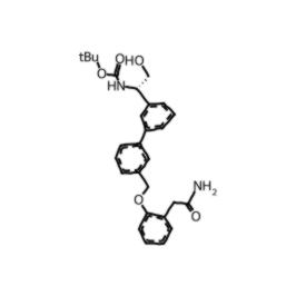 CC(C)(C)OC(=O)N[C@H](CO)c1cccc(-c2cccc(COc3ccccc3CC(N)=O)c2)c1